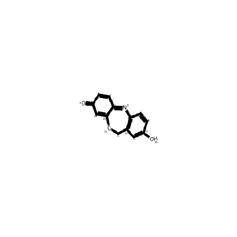 O=C1C=CC2=Nc3ccc(O)cc3COC2=C1